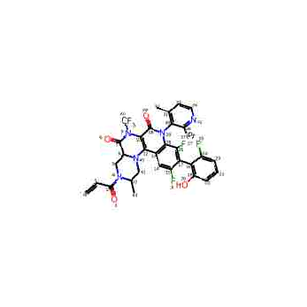 C=CC(=O)N1CC2C(=O)N(C(F)(F)F)c3c(c4cc(F)c(-c5c(O)cccc5F)c(F)c4n(-c4c(C)ccnc4C(C)C)c3=O)N2CC1C